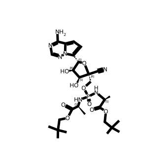 C[C@H](NP(=O)(N[C@@H](C)C(=O)OCC(C)(C)C)OC[C@@]1(C#N)O[C@@H](c2ccc3c(N)ncnn23)[C@H](O)[C@@H]1O)C(=O)OCC(C)(C)C